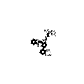 COc1cccc(-c2ccc3c(c2)c(-c2nc4ccccc4[nH]2)nn3COCC[Si](C)(C)C)c1C